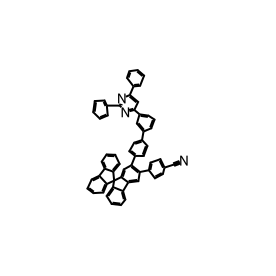 N#Cc1ccc(-c2cc3c(cc2-c2ccc(-c4cccc(-c5cc(-c6ccccc6)nc(-c6ccccc6)n5)c4)cc2)C2(c4ccccc4-c4ccccc42)c2ccccc2-3)cc1